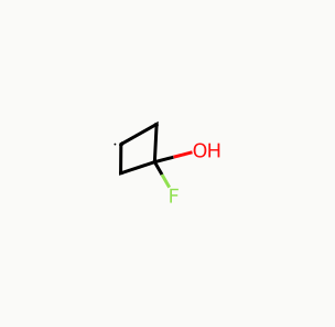 OC1(F)C[CH]C1